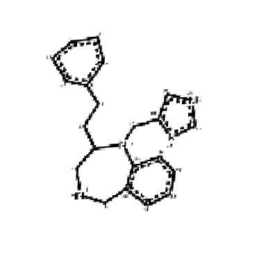 c1ccc(CCC2CNCc3ccccc3N2Cc2c[nH]cn2)cc1